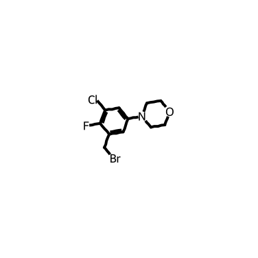 Fc1c(Cl)cc(N2CCOCC2)cc1CBr